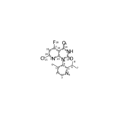 Cc1ccnc(C(C)C)c1-n1c(=O)[nH]c(=O)c2c(F)cc(Cl)nc21